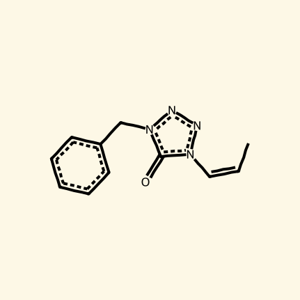 C/C=C\n1nnn(Cc2ccccc2)c1=O